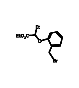 CCOC(=O)C(CC)Oc1ccccc1CBr